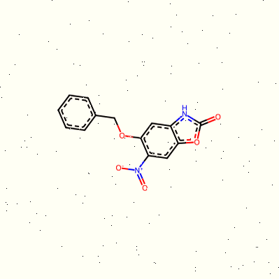 O=c1[nH]c2cc(OCc3ccccc3)c([N+](=O)[O-])cc2o1